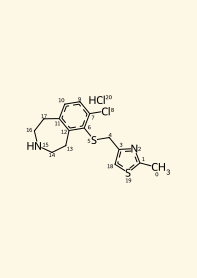 Cc1nc(CSc2c(Cl)ccc3c2CCNCC3)cs1.Cl